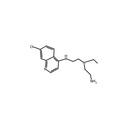 CCN(CCN)CCNc1ccnc2cc(Cl)ccc12